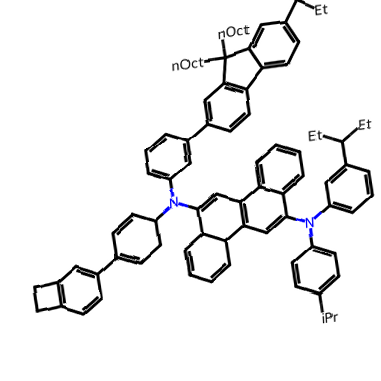 CCCCCCCCC1(CCCCCCCC)c2cc(-c3cccc(N(C4=Cc5c(cc(N(c6ccc(C(C)C)cc6)c6cccc(C(CC)CC)c6)c6ccccc56)C5C=CC=CC45)C4C=CC(c5ccc6c(c5)CC6)=CC4)c3)ccc2-c2ccc(C(C)(CC)CC)cc21